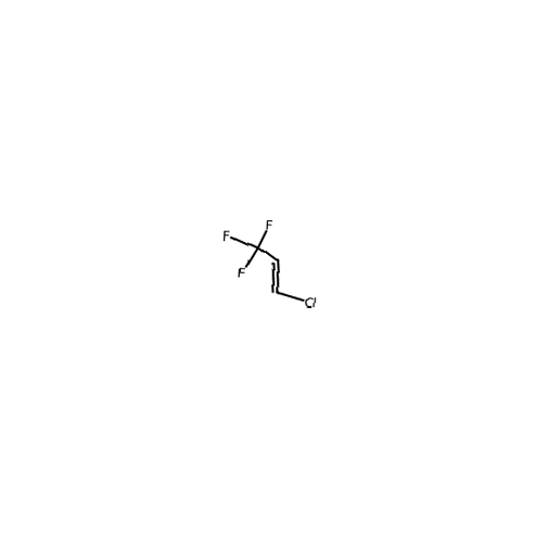 FC(F)(F)/C=C/Cl